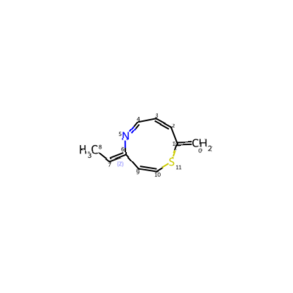 C=c1cccn/c(=C\C)ccs1